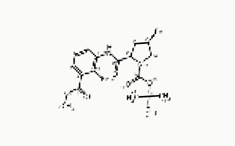 COC(=O)c1cccc(NC(=O)[C@H]2C[C@@H](F)CN2C(=O)OC(C)(C)C)c1F